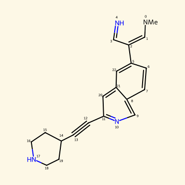 CN/C=C(\C=N)c1ccc2cnc(C#CC3CCNCC3)cc2c1